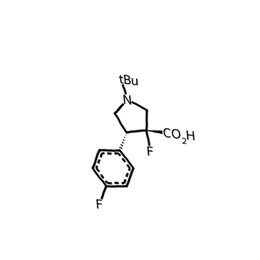 CC(C)(C)N1C[C@@H](c2ccc(F)cc2)[C@](F)(C(=O)O)C1